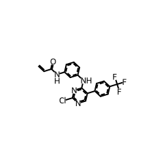 C=CC(=O)Nc1cccc(Nc2nc(Cl)ncc2-c2ccc(C(F)(F)F)cc2)c1